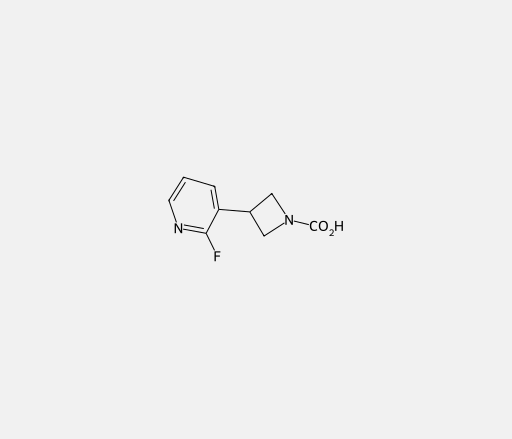 O=C(O)N1CC(c2cccnc2F)C1